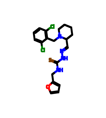 S=C(NCc1ccco1)NN=CC1CCCCN1Cc1c(Cl)cccc1Cl